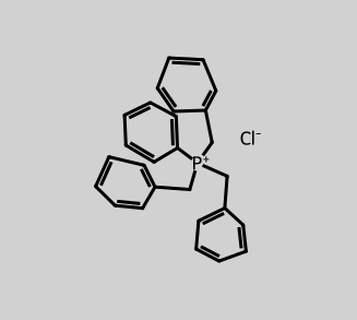 [Cl-].c1ccc(C[P+](Cc2ccccc2)(Cc2ccccc2)c2ccccc2)cc1